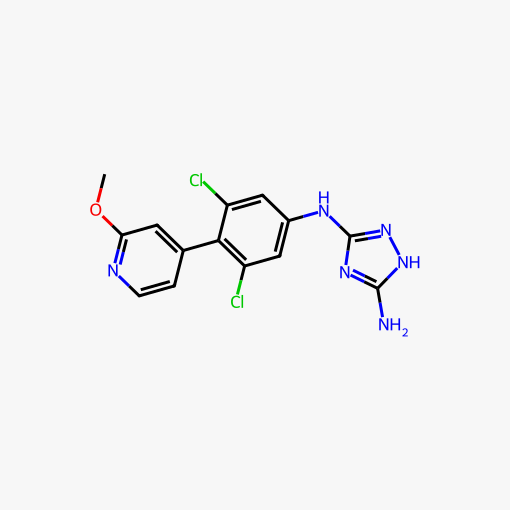 COc1cc(-c2c(Cl)cc(Nc3n[nH]c(N)n3)cc2Cl)ccn1